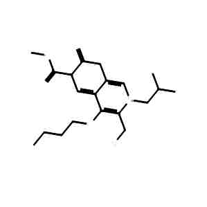 CCCCOC1=C(CN)N(CC(C)C)C=C2CC(=O)C(C(=O)OC)C=C21.Cl